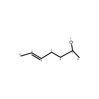 CC=CCCC(C)[O]